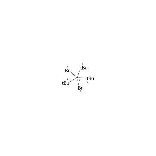 CC(C)(C)P(Br)(Br)(C(C)(C)C)C(C)(C)C